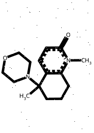 Cn1c2c(ccc1=O)C(C)(N1CCOCC1)CCC2